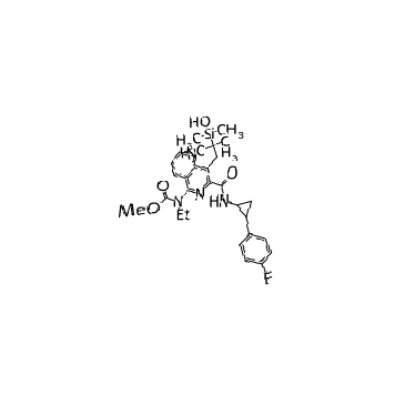 CCN(C(=O)OC)c1nc(C(=O)NC2CC2c2ccc(F)cc2)c(CC(C)(C)[Si](C)(C)O)c2ncccc12